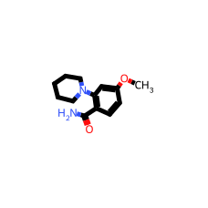 COc1ccc(C(N)=O)c(N2CCCCC2)c1